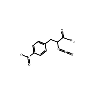 [N-]=[N+]=NC(Cc1ccc([N+](=O)[O-])cc1)C(N)=O